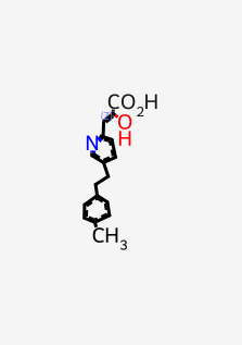 Cc1ccc(CCc2ccc(/C=C(\O)C(=O)O)nc2)cc1